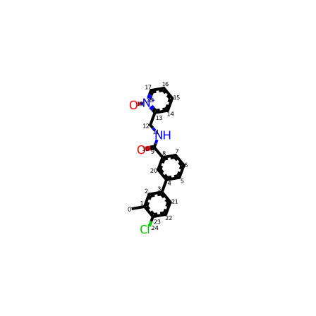 Cc1cc(-c2cccc(C(=O)NCc3cccc[n+]3[O-])c2)ccc1Cl